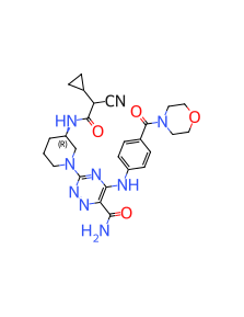 N#CC(C(=O)N[C@@H]1CCCN(c2nnc(C(N)=O)c(Nc3ccc(C(=O)N4CCOCC4)cc3)n2)C1)C1CC1